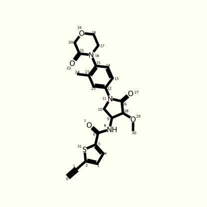 C#Cc1ccc(C(=O)NC2CN(c3ccc(N4CCOCC4=O)c(C)c3)C(=O)C2OC)s1